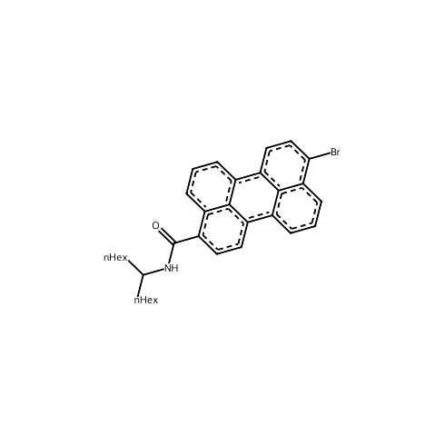 CCCCCCC(CCCCCC)NC(=O)c1ccc2c3cccc4c(Br)ccc(c5cccc1c52)c43